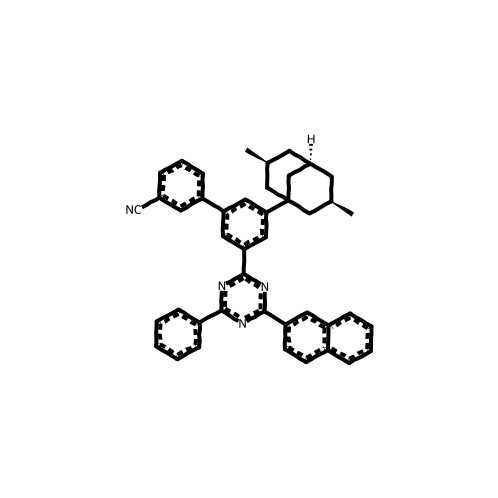 C[C@@H]1C[C@@H]2C[C@H](C)CC(c3cc(-c4cccc(C#N)c4)cc(-c4nc(-c5ccccc5)nc(-c5ccc6ccccc6c5)n4)c3)(C1)C2